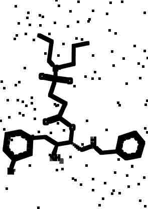 CCCN(CCC)S(=O)(=O)CCC(=O)O[C@H](CNCc1ccccc1)[C@@H](N)Cc1cccc(Br)c1